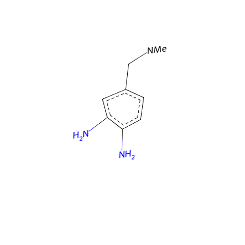 CNCc1ccc(N)c(N)c1